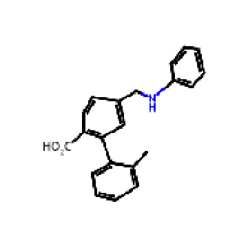 Cc1ccccc1-c1cc(CNc2ccccc2)ccc1C(=O)O